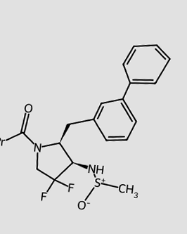 CC(C)C(=O)N1CC(F)(F)[C@H](N[S+](C)[O-])[C@@H]1Cc1cccc(-c2ccccc2)c1